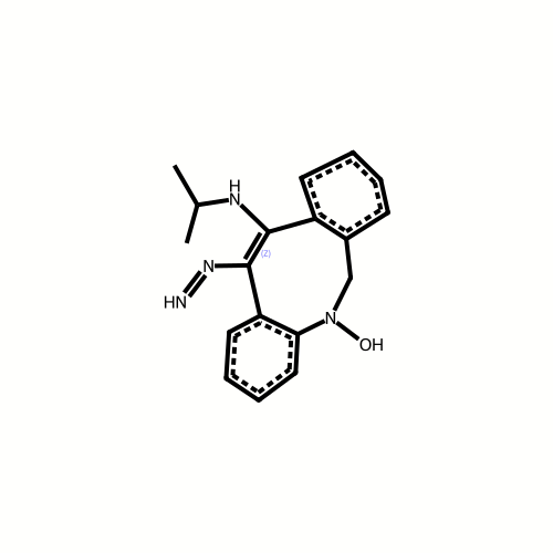 CC(C)N/C1=C(\N=N)c2ccccc2N(O)Cc2ccccc21